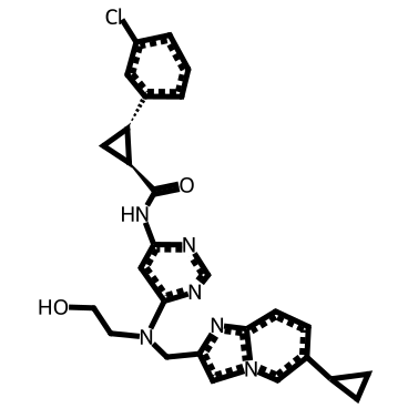 O=C(Nc1cc(N(CCO)Cc2cn3cc(C4CC4)ccc3n2)ncn1)[C@H]1C[C@@H]1c1cccc(Cl)c1